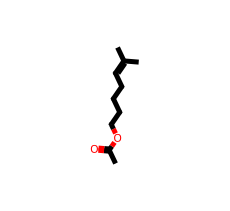 CC(=O)OCCCCC=C(C)C